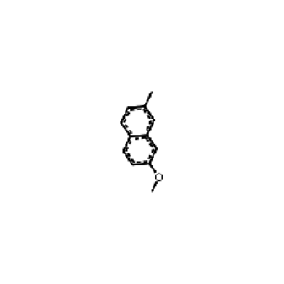 COc1ccc2ccc(C)cc2c1